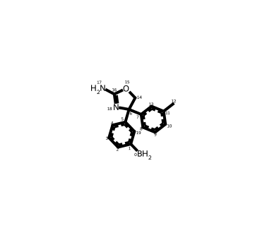 Bc1cccc(C2(c3cccc(C)c3)COC(N)=N2)c1